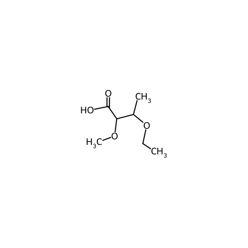 CCOC(C)C(OC)C(=O)O